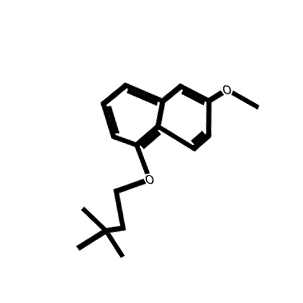 COc1ccc2c(OCCC(C)(C)C)cccc2c1